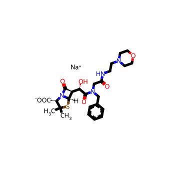 CC1(C)S[C@@H]2[C@H]([C@H](O)C(=O)N(CC(=O)NCCN3CCOCC3)Cc3ccccc3)C(=O)N2[C@H]1C(=O)[O-].[Na+]